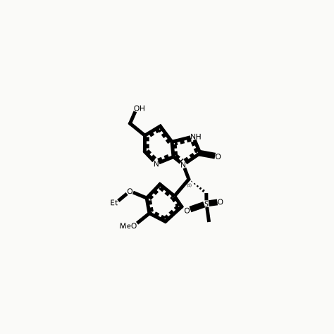 CCOc1cc([C@@H](CS(C)(=O)=O)n2c(=O)[nH]c3cc(CO)cnc32)ccc1OC